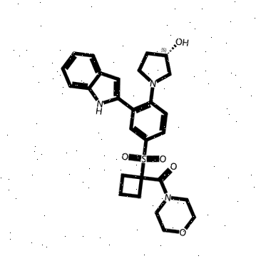 O=C(N1CCOCC1)C1(S(=O)(=O)c2ccc(N3CC[C@H](O)C3)c(-c3cc4ccccc4[nH]3)c2)CCC1